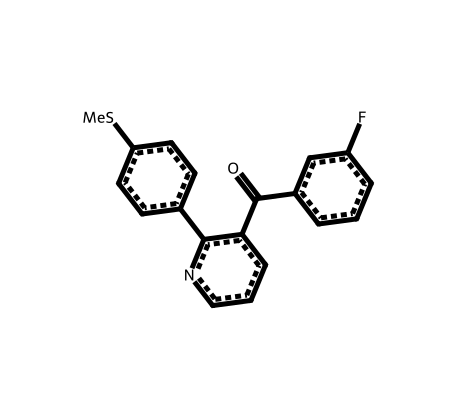 CSc1ccc(-c2ncccc2C(=O)c2cccc(F)c2)cc1